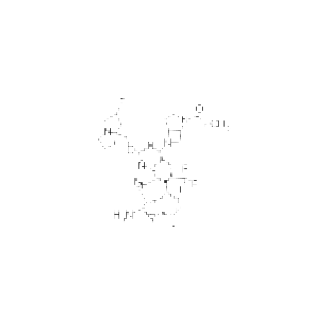 C=CC(=O)N1CCC2C1CN2c1nc(OCC23CCCN2CC(F)C3)nc2c(F)c(-c3ccc(F)c4sc(N)c(C#N)c34)c(C(F)(F)F)cc12